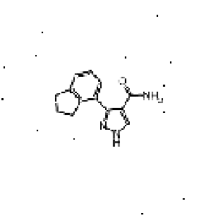 NC(=O)c1c[nH]nc1-c1cccc2c1CCC2